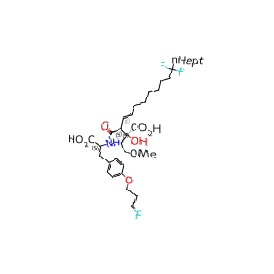 CCCCCCCC(F)(F)CCCCCC/C=C/[C@H](C(=O)N[C@@H](Cc1ccc(OCCCF)cc1)C(=O)O)[C@@](O)(CCOC)C(=O)O